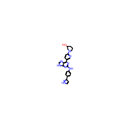 OC1CCCN(c2ccc(-c3nc(Nc4ccc(-c5cc[nH]n5)cc4)nc4[nH]cnc34)cn2)C1